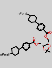 CCCCCC1CCC(c2ccc(C(=O)OC[C@H]3OC(C)(C)O[C@@H]3COC(=O)c3ccc(C4CCC(CCCCC)CC4)cc3)cc2)CC1